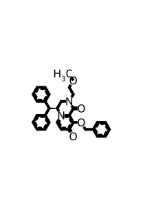 COCCN1C[C@H](C(c2ccccc2)c2ccccc2)n2ccc(=O)c(OCc3ccccc3)c2C1=O